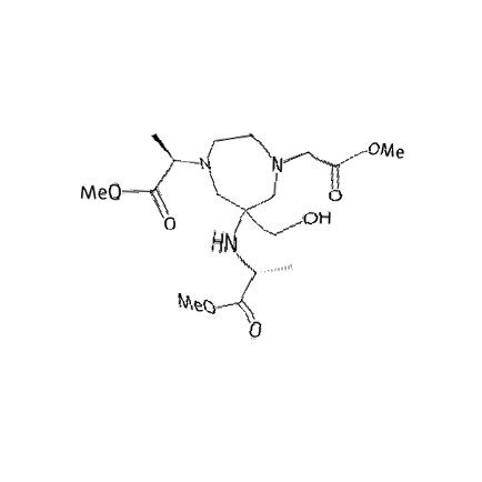 COC(=O)CN1CCN([C@H](C)C(=O)OC)CC(CO)(N[C@H](C)C(=O)OC)C1